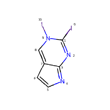 Ic1nc2nccc-2cn1I